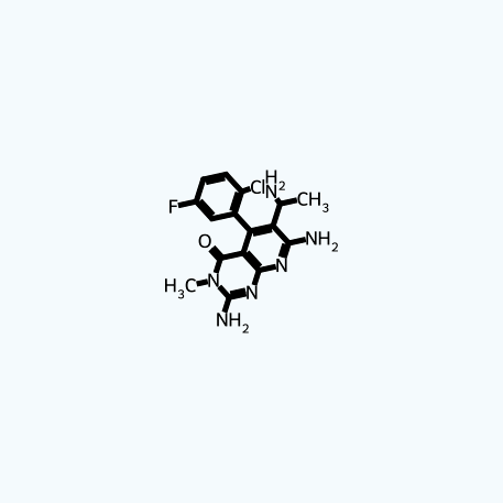 CC(N)c1c(N)nc2nc(N)n(C)c(=O)c2c1-c1cc(F)ccc1Cl